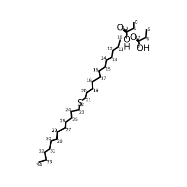 CCC(=O)O.CCC(=O)O.CCCCCCCCCCCCSCCCCCCCCCCCC